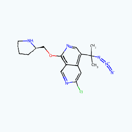 CC(C)(N=[N+]=[N-])c1cnc(OC[C@H]2CCCN2)c2cnc(Cl)cc12